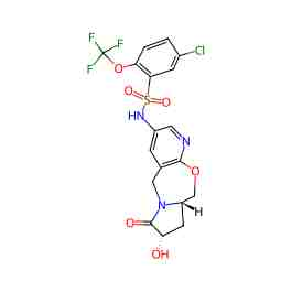 O=C1[C@@H](O)C[C@H]2COc3ncc(NS(=O)(=O)c4cc(Cl)ccc4OC(F)(F)F)cc3CN12